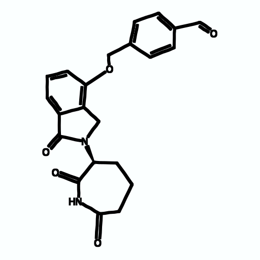 O=Cc1ccc(COc2cccc3c2CN([C@H]2CCCC(=O)NC2=O)C3=O)cc1